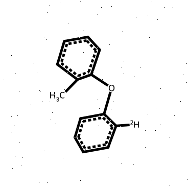 [2H]c1ccccc1Oc1ccccc1C